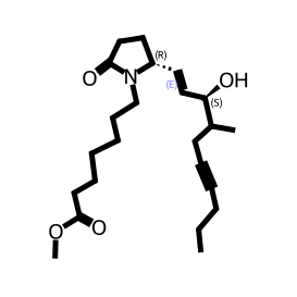 CCCC#CCC(C)[C@H](O)/C=C/[C@H]1CCC(=O)N1CCCCCCC(=O)OC